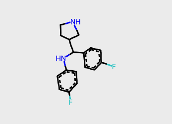 Fc1ccc(NC(c2ccc(F)cc2)C2CCNC2)cc1